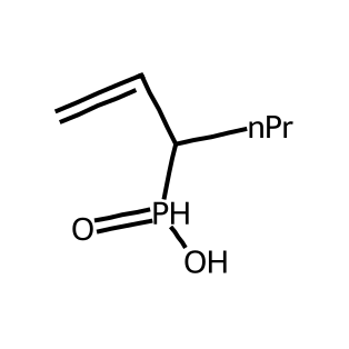 C=CC(CCC)[PH](=O)O